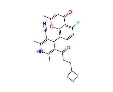 CC1=C(C#N)C(c2ccc(F)c3c(=O)cc(C)oc23)C(C(=O)CCC2CCC2)=C(C)N1